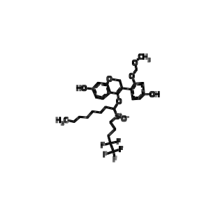 CCCCCCCC(OC1=C(c2ccc(O)cc2OCOC)COc2cc(O)ccc21)[S+]([O-])CCCC(F)(F)C(F)(F)F